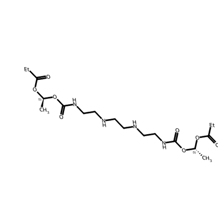 CCC(=O)O[C@H](C)OC(=O)NCCNCCNCCNC(=O)O[C@@H](C)OC(=O)CC